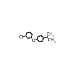 CC(C)c1ccc(Oc2cccc(Cl)c2)cc1